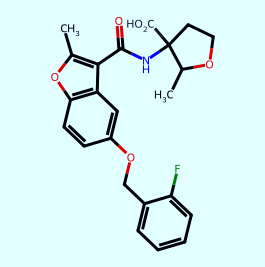 Cc1oc2ccc(OCc3ccccc3F)cc2c1C(=O)NC1(C(=O)O)CCOC1C